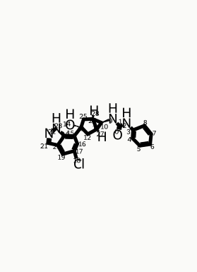 O=C(Nc1ccccc1)N[C@H]1[C@@H]2C[C@@](O)(c3cc(Cl)cc4cn[nH]c34)C[C@@H]21